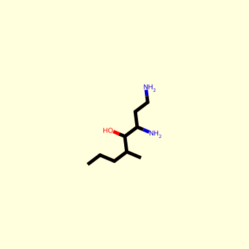 CCCC(C)C(O)C(N)CCN